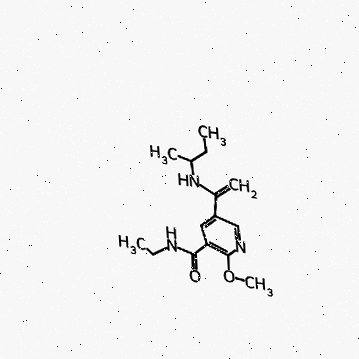 C=C(NC(C)CC)c1cnc(OC)c(C(=O)NCC)c1